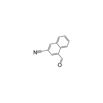 N#Cc1cc(C=O)c2ccccc2c1